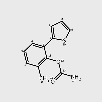 Cc1cccc(-c2cccs2)c1OC(N)=O